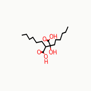 CCCCCCC(C(=O)O)C(O)(CCCCCC)C(=O)O